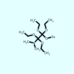 CCOC([O][Ta])(OCC)C(OCC)(OCC)N(C)C